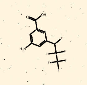 Nc1cc(C(=O)O)cc(C(F)C(F)(F)C(F)(F)F)c1